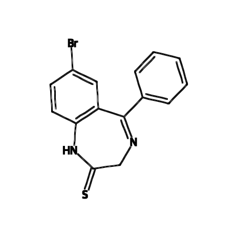 S=C1CN=C(c2ccccc2)c2cc(Br)ccc2N1